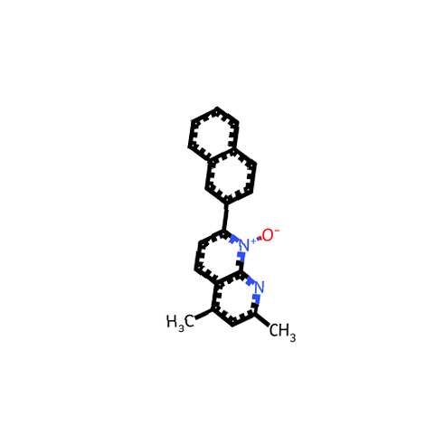 Cc1cc(C)c2ccc(-c3ccc4ccccc4c3)[n+]([O-])c2n1